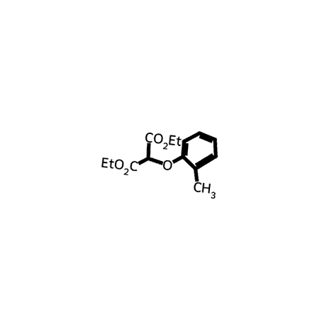 CCOC(=O)C(Oc1ccccc1C)C(=O)OCC